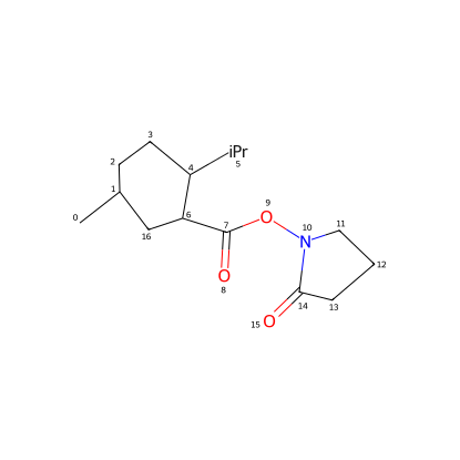 CC1CCC(C(C)C)C(C(=O)ON2CCCC2=O)C1